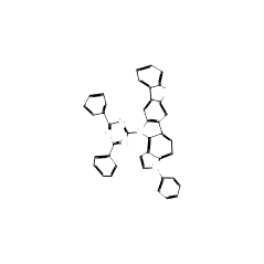 c1ccc(-c2nc(-c3ccccc3)nc(-n3c4cc5c(cc4c4ccc6c(ccn6-c6ccccc6)c43)sc3ccccc35)n2)cc1